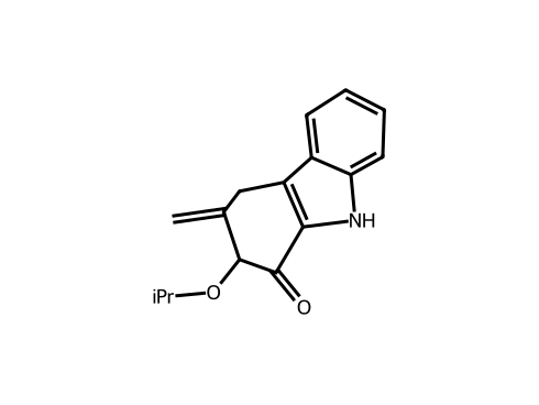 C=C1Cc2c([nH]c3ccccc23)C(=O)C1OC(C)C